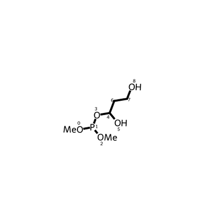 COP(OC)OC(O)CCO